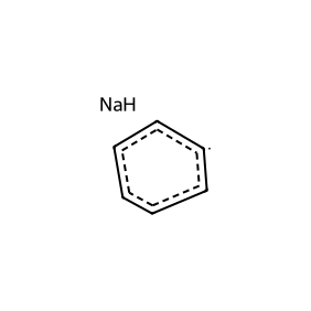 [NaH].[c]1ccccc1